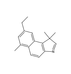 CCc1cc(C)c2ccc3c(c2c1)C(C)(C)C=N3